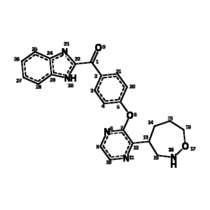 O=C(c1ccc(Oc2nccnc2C2CCCONC2)cc1)c1nc2ccccc2[nH]1